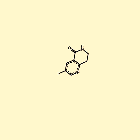 O=C1NCCc2ncc(I)cc21